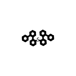 c1ccc(-c2ccccc2-c2ccccc2Sc2ccccc2-c2ccccc2-c2ccccc2)cc1